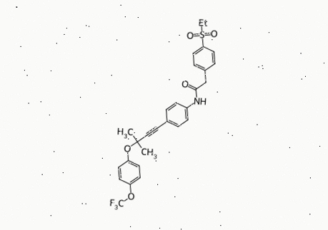 CCS(=O)(=O)c1ccc(CC(=O)Nc2ccc(C#CC(C)(C)Oc3ccc(OC(F)(F)F)cc3)cc2)cc1